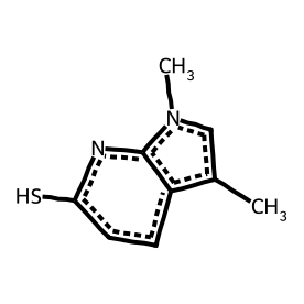 Cc1cn(C)c2nc(S)ccc12